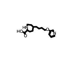 O=C(O)C1CCC(CCCCOc2cccnc2)CCN1